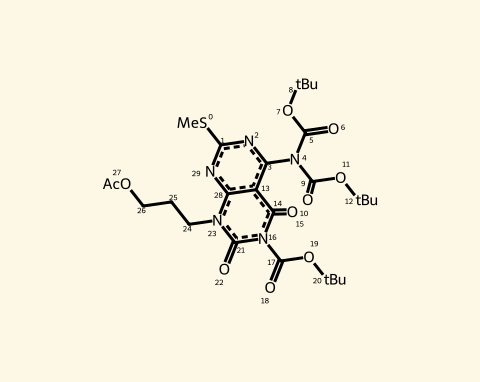 CSc1nc(N(C(=O)OC(C)(C)C)C(=O)OC(C)(C)C)c2c(=O)n(C(=O)OC(C)(C)C)c(=O)n(CCCOC(C)=O)c2n1